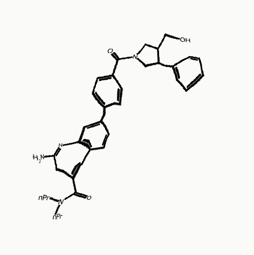 CCCN(CCC)C(=O)C1=Cc2ccc(-c3ccc(C(=O)N4CC(CO)C(c5ccccc5)C4)cc3)cc2N=C(N)C1